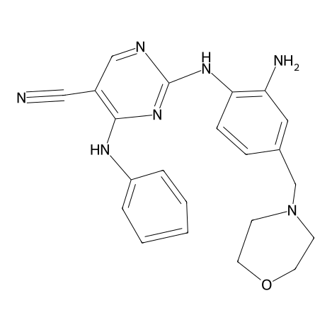 N#Cc1cnc(Nc2ccc(CN3CCOCC3)cc2N)nc1Nc1ccccc1